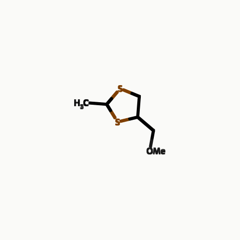 COCC1CSC(C)S1